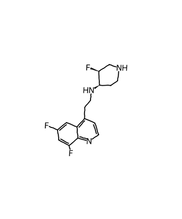 Fc1cc(F)c2nccc(CCN[C@@H]3CCNC[C@@H]3F)c2c1